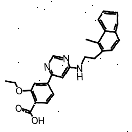 CCOc1cc(-c2cc(NCCc3ccc4ccccc4c3C)ncn2)ccc1C(=O)O